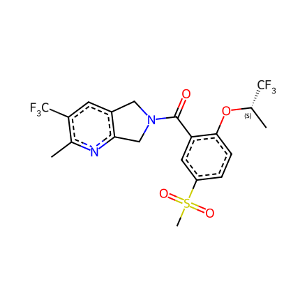 Cc1nc2c(cc1C(F)(F)F)CN(C(=O)c1cc(S(C)(=O)=O)ccc1O[C@@H](C)C(F)(F)F)C2